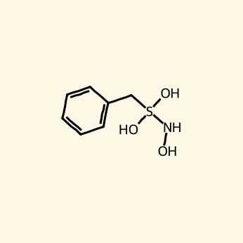 ONS(O)(O)Cc1ccccc1